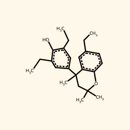 CCc1ccc2c(c1)C(C)(c1cc(CC)c(O)c(CC)c1)CC(C)(C)O2